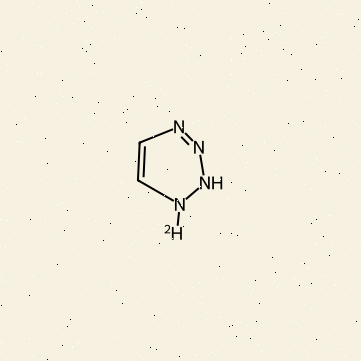 [2H]N1C=CN=NN1